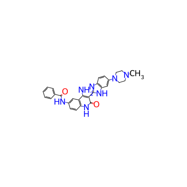 CN1CCN(c2ccc3nc(-c4c(N)c5cc(NC(=O)c6ccccc6)ccc5[nH]c4=O)[nH]c3c2)CC1